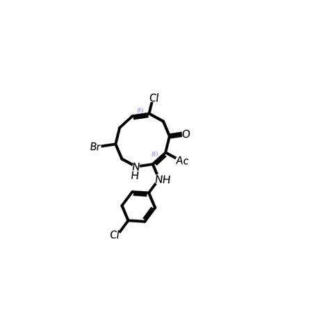 CC(=O)/C1=C(\NC2=CCC(Cl)C=C2)NCC(Br)C/C=C(/Cl)CC1=O